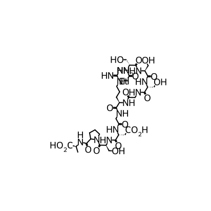 CCC(=O)N[C@H](CO)C(=O)N[C@@H](CO)C(=O)N[C@H](CO)C(=O)NCC(=O)N[C@H](CCCNC(=N)N)C(=O)NCC(=O)N[C@H](CC(=O)O)C(=O)N[C@@H](CO)C(=O)N1CCCC1C(=O)N[C@@H](C)C(=O)O